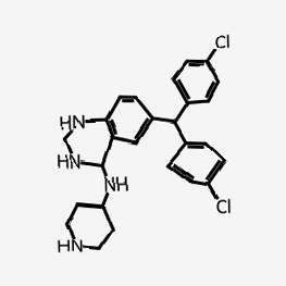 Clc1ccc(C(c2ccc(Cl)cc2)c2ccc3c(c2)C(NC2CCNCC2)NCN3)cc1